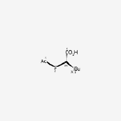 CC[C@H](C)[C@H](SC(C)=O)C(=O)O